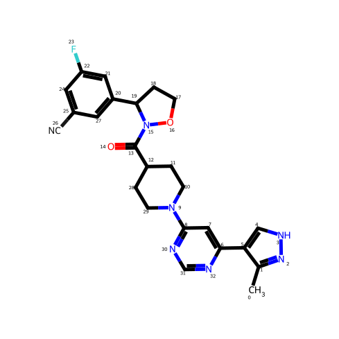 Cc1n[nH]cc1-c1cc(N2CCC(C(=O)N3OCCC3c3cc(F)cc(C#N)c3)CC2)ncn1